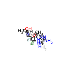 CCOc1c(C(C)Nc2ncnc(N)c2C(C)=N)cc(Cl)c(F)c1C1CN(CC(C)(C)O)C1